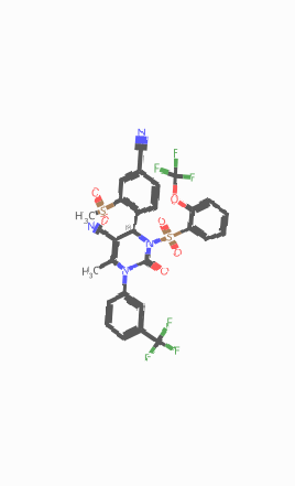 CC1=C(C#N)[C@@H](c2ccc(C#N)cc2S(C)(=O)=O)N(S(=O)(=O)c2ccccc2OC(F)(F)F)C(=O)N1c1cccc(C(F)(F)F)c1